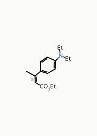 CCOC(=O)/C=C(/C)c1ccc(N(CC)CC)cc1